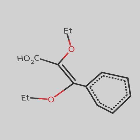 CCOC(C(=O)O)=C(OCC)c1ccccc1